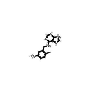 Cc1ccc(N)cc1CNc1ncnc2[nH]cnc12